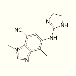 Cc1c(NC2=NCCN2)cc(C#N)c2c1ncn2C